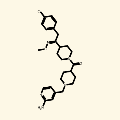 CON=C(Cc1ccc(Cl)cc1)C1CCN(C(=O)C2CCN(Cc3ccnc(N)c3)CC2)CC1